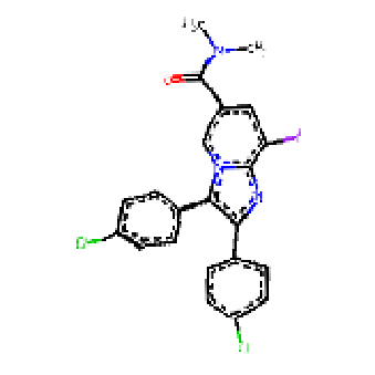 CN(C)C(=O)c1cc(I)c2nc(-c3ccc(Cl)cc3)c(-c3ccc(Cl)cc3)n2c1